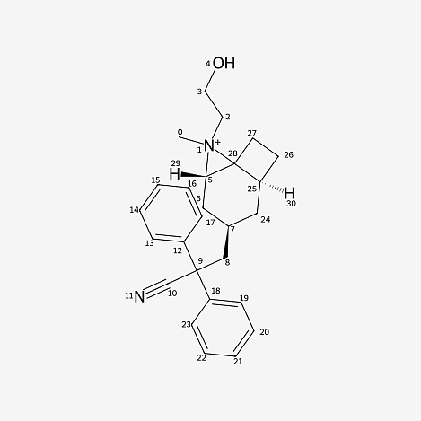 C[N+]1(CCO)[C@H]2C[C@H](CC(C#N)(c3ccccc3)c3ccccc3)C[C@@H]3CCC321